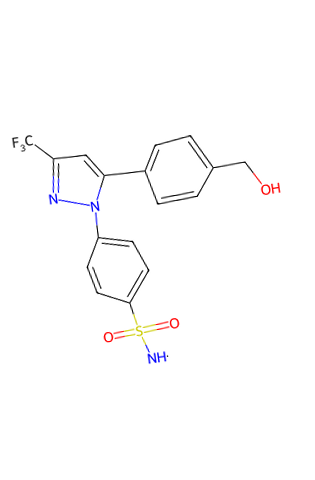 [NH]S(=O)(=O)c1ccc(-n2nc(C(F)(F)F)cc2-c2ccc(CO)cc2)cc1